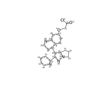 O=C(Cl)COc1ccc2c(-c3c(-c4ccccn4)nn4c3CCC4)ccnc2c1